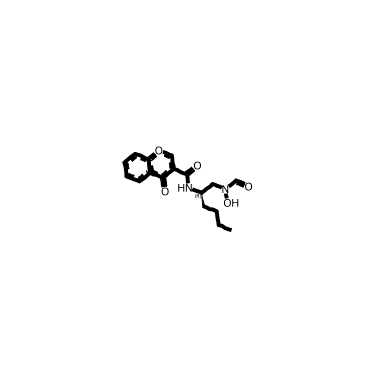 CCCC[C@H](CN(O)C=O)NC(=O)c1coc2ccccc2c1=O